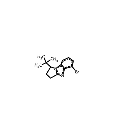 CC(C)(C)C1CCc2nc3c(Br)cccc3n21